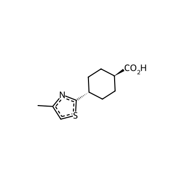 Cc1csc([C@H]2CC[C@H](C(=O)O)CC2)n1